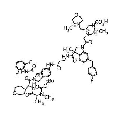 CC(C(=O)NC(C(=O)N1Cc2ccc(NC(=O)CCNC(=O)[C@]3(C)CN(C(=O)CN4C[C@@H](C)N(C(=O)O)C[C@@H]4CN4CCOC[C@H]4C)c4cc(Cc5ccc(F)cc5)ccc43)cc2[C@H]1C(=O)Nc1c(F)cccc1F)C1CCOCC1)N(C)C(=O)OC(C)(C)C